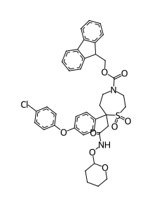 O=C(CC1(c2ccc(Oc3ccc(Cl)cc3)cc2)CCN(C(=O)OCC2c3ccccc3-c3ccccc32)CCS1(=O)=O)NOC1CCCCO1